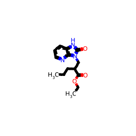 CCCC(Cn1c(=O)[nH]c2cccnc21)C(=O)OCC